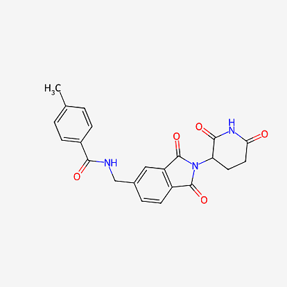 Cc1ccc(C(=O)NCc2ccc3c(c2)C(=O)N(C2CCC(=O)NC2=O)C3=O)cc1